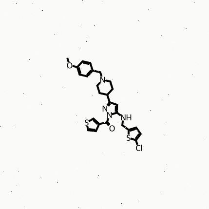 COc1ccc(CN2CCC(c3cc(NCc4ccc(Cl)s4)n(C(=O)c4ccsc4)n3)CC2)cc1